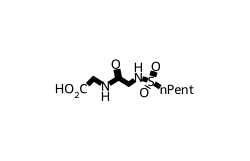 CCCCCS(=O)(=O)NCC(=O)NCC(=O)O